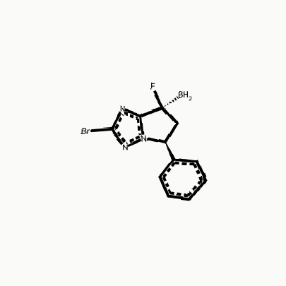 B[C@]1(F)C[C@@H](c2ccccc2)n2nc(Br)nc21